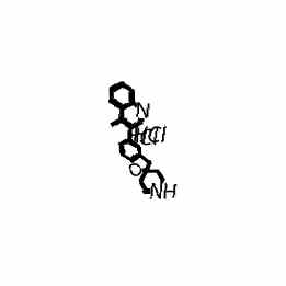 Cc1c(-c2ccc3c(c2)CC2(CCNCC2)O3)cnc2ccccc12.Cl.Cl